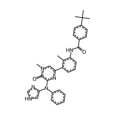 Cc1c(NC(=O)c2ccc(C(C)(C)C)cc2)cccc1-c1cn(C)c(=O)c(N(c2ccccc2)c2c[nH]cn2)n1